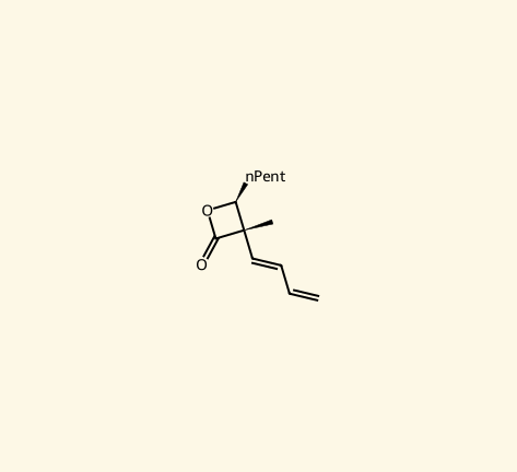 C=C/C=C/[C@]1(C)C(=O)O[C@H]1CCCCC